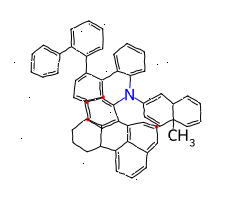 CC12C=CC=CC1C=C(N(c1ccccc1-c1ccccc1-c1ccccc1-c1ccccc1)c1ccccc1-c1cccc3cccc(C4CCCCC4)c13)C=C2